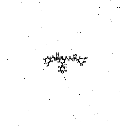 Cc1cccc(C=NNc2cc(N3CCOCC3)cc(CCCOC(=O)C3CCCCC3)n2)c1